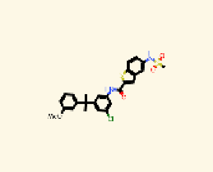 COc1cccc(C(C)(C)c2cc(Cl)cc(NC(=O)c3cc4cc(NS(C)(=O)=O)ccc4s3)c2)c1